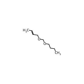 CC=CCOCOCCCC